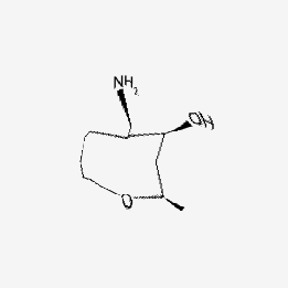 C[C@H]1OCC[C@@H](N)[C@H]1O